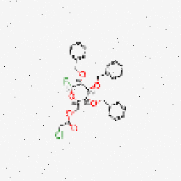 O=C(CCl)OC[C@H]1O[C@H](F)[C@H](OCc2ccccc2)[C@@H](OCc2ccccc2)[C@H]1OCc1ccccc1